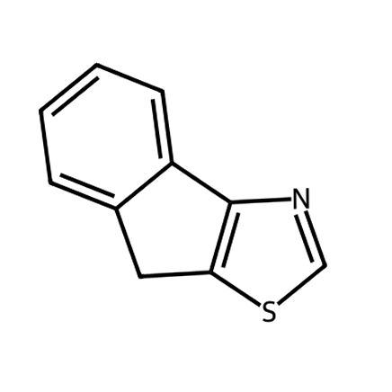 c1ccc2c(c1)Cc1scnc1-2